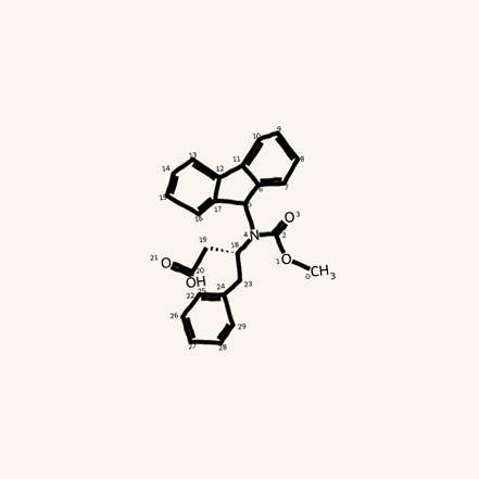 COC(=O)N(C1c2ccccc2-c2ccccc21)[C@@H](CC(=O)O)Cc1ccccc1